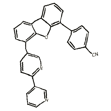 N#Cc1ccc(-c2cccc3c2oc2c(-c4ccc(-c5cccnc5)nc4)cccc23)cc1